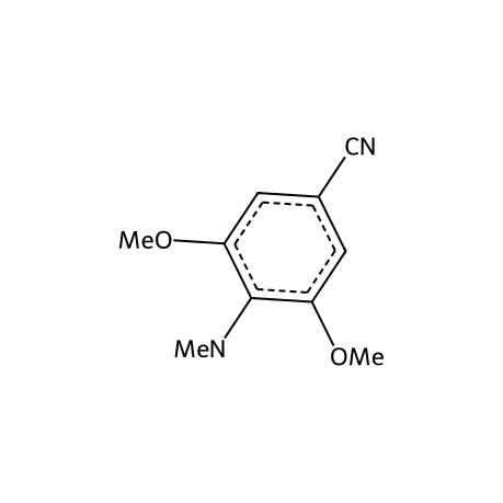 CNc1c(OC)cc(C#N)cc1OC